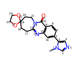 Cn1cncc1-c1ccc2c(=O)n3c(nc2c1)CCC1(CC3)OCCO1